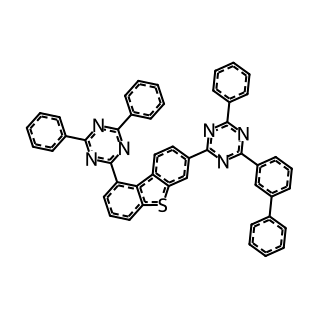 c1ccc(-c2cccc(-c3nc(-c4ccccc4)nc(-c4ccc5c(c4)sc4cccc(-c6nc(-c7ccccc7)nc(-c7ccccc7)n6)c45)n3)c2)cc1